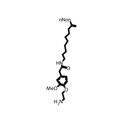 C=C(CCCCCCCCC)CCCCCCCCNC(=O)Cc1ccc(OCCN)c(OC)c1